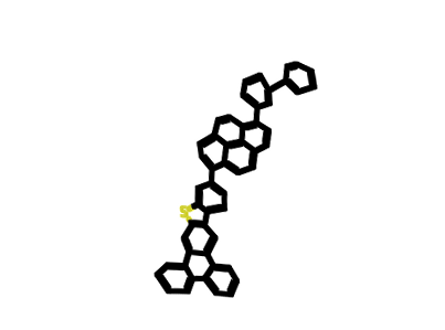 c1ccc(-c2cccc(-c3ccc4ccc5c(-c6ccc7c(c6)sc6cc8c9ccccc9c9ccccc9c8cc67)ccc6ccc3c4c65)c2)cc1